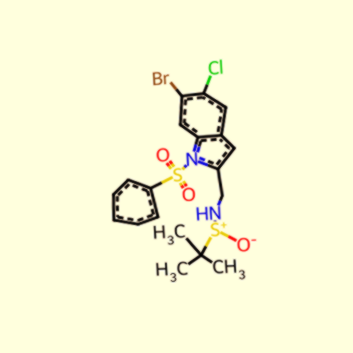 CC(C)(C)[S+]([O-])NCc1cc2cc(Cl)c(Br)cc2n1S(=O)(=O)c1ccccc1